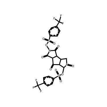 O=C1C2C(=O)N(OS(=O)(=O)c3ccc(C(F)(F)F)cc3)C(=O)C2C2C[N+](=O)C(OS(=O)(=O)c3ccc(C(F)(F)F)cc3)C12